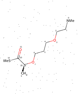 CNCCOCCCO[C@@H](C)C(=O)SC